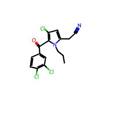 CCCn1c(CC#N)cc(Cl)c1C(=O)c1ccc(Cl)c(Cl)c1